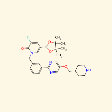 CC1(C)OB(c2cc(F)c(=O)n(Cc3cccc(-c4ncc(OCC5CCNCC5)cn4)c3)c2)OC1(C)C